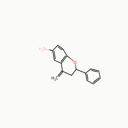 Bc1ccc2c(c1)C(=C)CC(c1ccccc1)O2